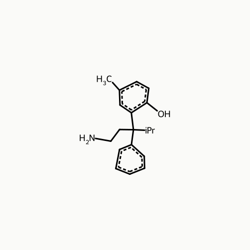 Cc1ccc(O)c(C(CCN)(c2ccccc2)C(C)C)c1